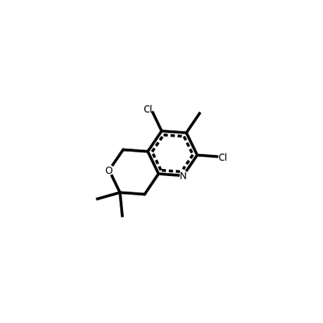 Cc1c(Cl)nc2c(c1Cl)COC(C)(C)C2